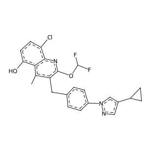 Cc1c(Cc2ccc(-n3cc(C4CC4)cn3)cc2)c(OC(F)F)nc2c(Cl)ccc(O)c12